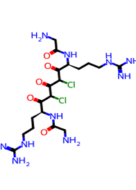 N=C(N)NCCC[C@H](NC(=O)CN)C(=O)C(Cl)C(=O)C(Cl)C(=O)[C@H](CCCNC(=N)N)NC(=O)CN